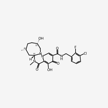 C[C@@H]1CC[C@H](O)CN2[C@@H](C1)N(C)C(=O)c1c(O)c(=O)c(C(=O)NCc3cccc(Cl)c3F)cn12